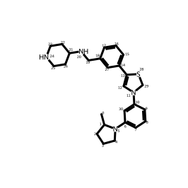 CC1CCCN1c1cccc(N2C=C(c3cccc(CNC4CCNCC4)c3)SC2)c1